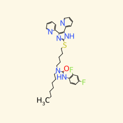 CCCCCCCN(CCCCCSc1nc(-c2ccccn2)c(-c2ccccn2)[nH]1)C(=O)Nc1ccc(F)cc1F